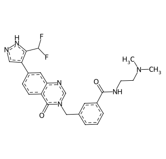 CN(C)CCNC(=O)c1cccc(Cn2cnc3cc(-c4cn[nH]c4C(F)F)ccc3c2=O)c1